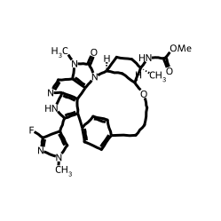 COC(=O)N[C@]1(C)CC[C@H]2C[C@H]1OCCCc1ccc(cc1)-c1c(-c3cn(C)nc3F)[nH]c3ncc4c(c13)n2c(=O)n4C